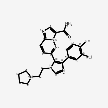 NC(=O)c1cnc2ccc(-c3c(-c4ccc(F)c(Cl)c4)ncn3CCN3CCCC3)nn12